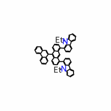 CCn1c2ccccc2c2cccc(-c3cccc4c(-c5cc6ccccc6c6ccccc56)c5cccc(-c6cccc7c8ccccc8n(CC)c67)c5cc34)c21